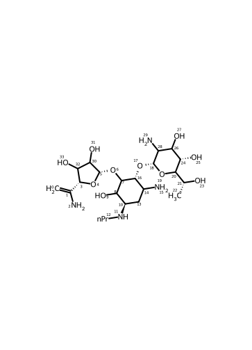 C=C(N)[C@H]1O[C@@H](OC2C(O)[C@H](NCCC)CC(N)[C@H]2O[C@H]2OC([C@@H](C)O)[C@@H](O)C(O)C2N)C(O)C1O